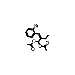 CCC(=Cc1ccccc1Br)C(OC(C)=O)OC(C)=O